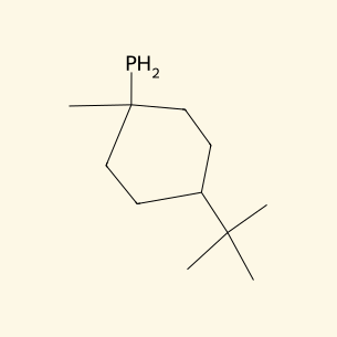 CC1(P)CCC(C(C)(C)C)CC1